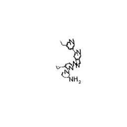 CCc1cncc(-c2cc3c(cn2)cnn3-c2ccc(C3CC3)c(N3CCCC(N)C3)n2)c1